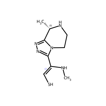 CN/C(=C\S)c1nnc2n1CCN[C@H]2C